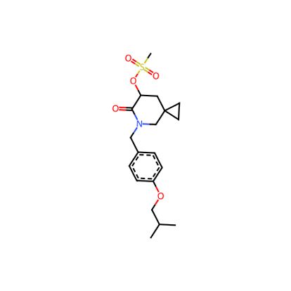 CC(C)COc1ccc(CN2CC3(CC3)CC(OS(C)(=O)=O)C2=O)cc1